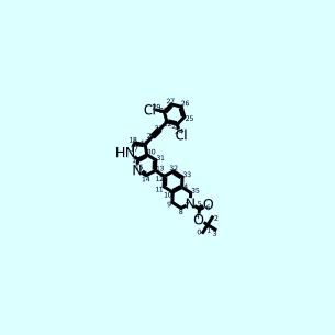 CC(C)(C)OC(=O)N1CCc2cc(-c3cnc4[nH]cc(C#Cc5c(Cl)cccc5Cl)c4c3)ccc2C1